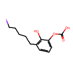 O=C(O)Oc1cccc(CCCCCI)c1O